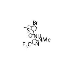 CNc1ncc(C(F)(F)F)cc1NC(=O)c1ccc(Br)c2c1SC(C)C2